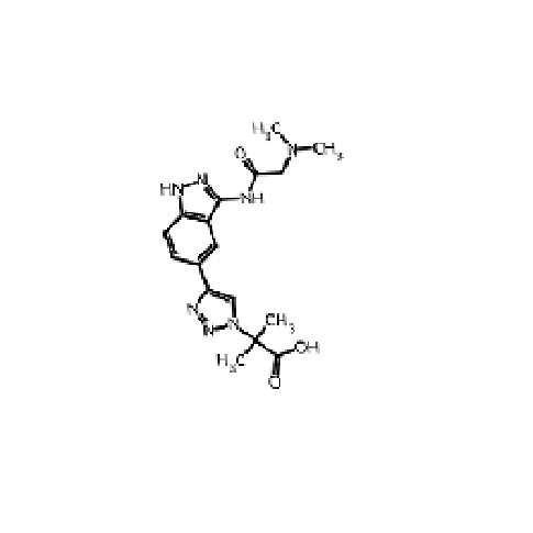 CN(C)CC(=O)Nc1n[nH]c2ccc(-c3cn(C(C)(C)C(=O)O)nn3)cc12